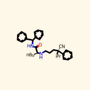 CCCC[C@H](NCCC[C@@](C#N)(c1ccccc1)C(C)C)C(=O)NC(c1ccccc1)c1ccccc1